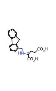 O=C(O)CC[C@H](NCc1cccc2c1Cc1ccccc1-2)C(=O)O